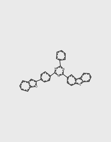 c1ccc(-c2nc(-c3ccc(-c4cc5ccccc5o4)cc3)nc(-c3ccc4sc5ccccc5c4c3)n2)cc1